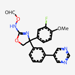 COc1ccc(C2(c3cccc(-c4cncnc4)c3)COC(NOC=O)=N2)cc1F